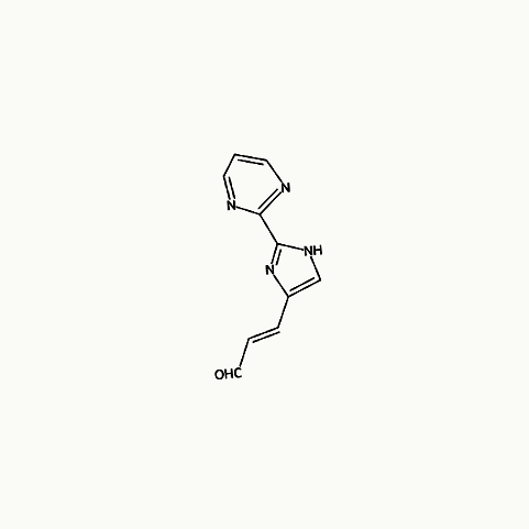 O=CC=Cc1c[nH]c(-c2ncccn2)n1